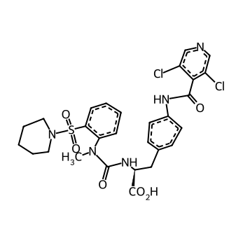 CN(C(=O)N[C@@H](Cc1ccc(NC(=O)c2c(Cl)cncc2Cl)cc1)C(=O)O)c1ccccc1S(=O)(=O)N1CCCCC1